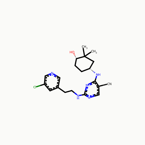 CC1(C)C[C@H](Nc2nc(NCCc3cncc(Cl)c3)ncc2C#N)CC[C@@H]1O